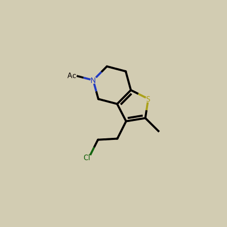 CC(=O)N1CCc2sc(C)c(CCCl)c2C1